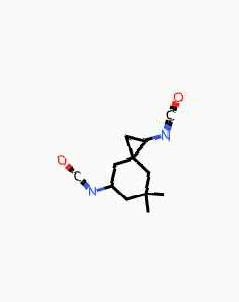 CC1(C)CC(N=C=O)CC2(CC2N=C=O)C1